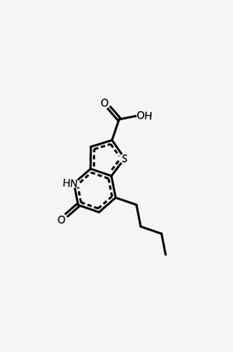 CCCCc1cc(=O)[nH]c2cc(C(=O)O)sc12